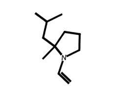 C=CN1CCCC1(C)CC(C)C